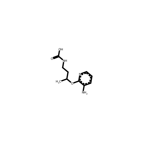 CC(CCNC(=O)O)Oc1ncccc1N